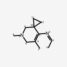 C/C=N\C1=C(C)CN(C)CC12CC2